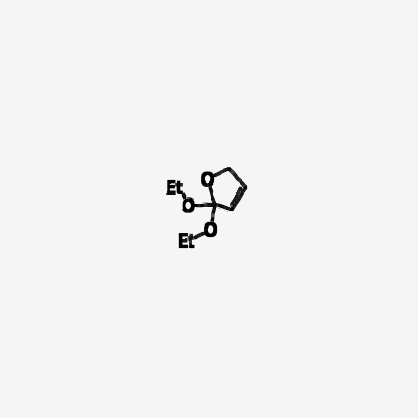 CCOC1(OCC)C=CCO1